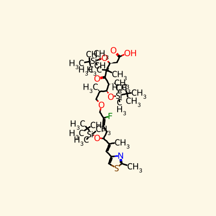 C/C(=C\c1csc(C)n1)C(C/C=C(\F)COC[C@H](C)[C@H](O[Si](C)(C)C(C)(C)C)[C@@H](C)C(=O)C(C)(C)[C@H](CC(=O)O)O[Si](C)(C)C(C)(C)C)O[Si](C)(C)C(C)(C)C